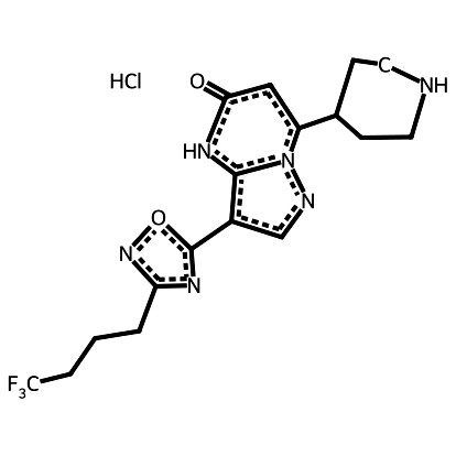 Cl.O=c1cc(C2CCNCC2)n2ncc(-c3nc(CCCC(F)(F)F)no3)c2[nH]1